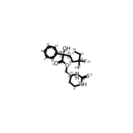 O=C(OC[C@@H]1CCNC(=S)N1)[C@](O)(c1ccccc1)[C@@H]1CCC(F)(F)C1